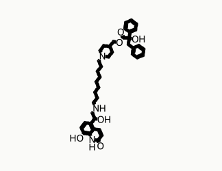 O=C(OCC1CCN(CCCCCCCCCNCC(O)c2ccc(O)c3[nH]c(=O)ccc23)CC1)C(O)(Cc1ccccc1)c1ccccc1